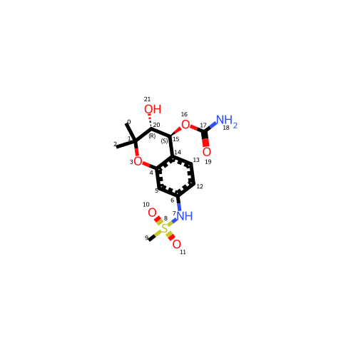 CC1(C)Oc2cc(NS(C)(=O)=O)ccc2[C@H](OC(N)=O)[C@H]1O